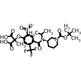 CC(C)N(C(=O)c1cc([N+](=O)[O-])c(OC(C)(C(=O)O)C(=O)O)cc1C(F)(F)F)[C@@H]1CCCN(C(=O)OC(C)(C)C)C1